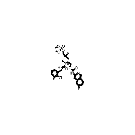 COP(=O)(OC)OCC(F)(F)C[C@@H](COC(=O)Nc1cc2cc(F)ccc2cn1)N(C)C(=O)NCc1cccc(F)c1Cl